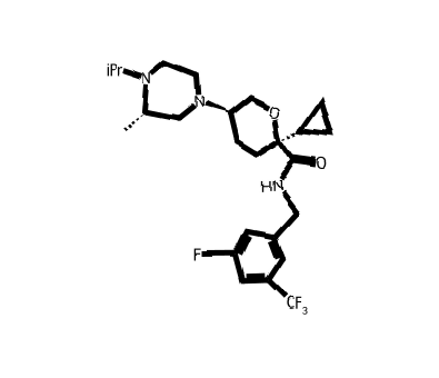 CC(C)N1CCN([C@@H]2CC[C@@](C(=O)NCc3cc(F)cc(C(F)(F)F)c3)(C3CC3)OC2)C[C@@H]1C